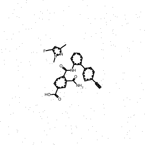 C#Cc1ccc(-c2ccccc2NC(=O)c2ccc(C(=O)O)cc2C(N)=O)cc1.Cc1cc(F)n(C)n1